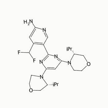 CC(C)[C@@H]1COCCN1c1cc(N2CCOC[C@H]2C(C)C)nc(-c2cnc(N)cc2C(F)F)n1